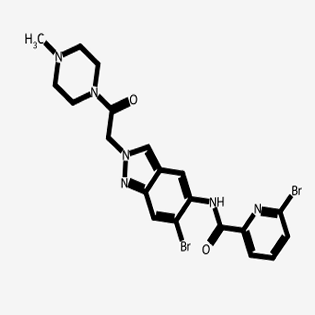 CN1CCN(C(=O)Cn2cc3cc(NC(=O)c4cccc(Br)n4)c(Br)cc3n2)CC1